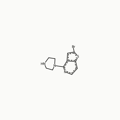 Brc1cc2c(N3CCNCC3)nccc2s1